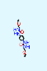 C=COCCNC(=O)Nc1ccc(NC(=O)NCCOC=C)cc1